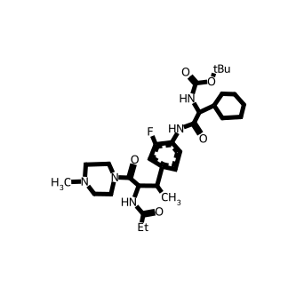 CCC(=O)NC(C(=O)N1CCN(C)CC1)C(C)c1ccc(NC(=O)C(NC(=O)OC(C)(C)C)C2CCCCC2)c(F)c1